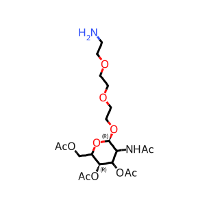 CC(=O)NC1C(OC(C)=O)[C@@H](OC(C)=O)C(COC(C)=O)O[C@H]1OCCOCCOCCN